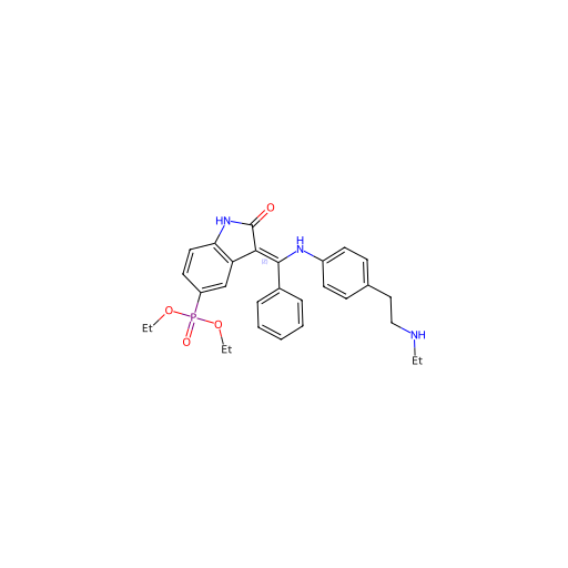 CCNCCc1ccc(N/C(=C2\C(=O)Nc3ccc(P(=O)(OCC)OCC)cc32)c2ccccc2)cc1